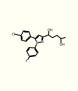 CC(O)CCC(O)c1cc(-c2ccc(Cl)cc2)n(-c2ccc(F)cc2)n1